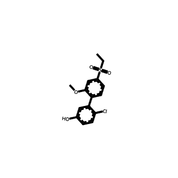 CCS(=O)(=O)c1ccc(-c2cc(O)ccc2Cl)c(OC)c1